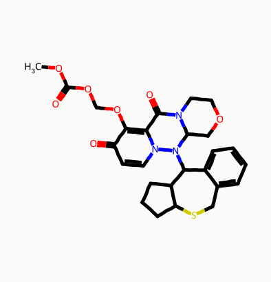 COC(=O)OCOc1c2n(ccc1=O)N(C1c3ccccc3CSC3CCCC31)C1COCCN1C2=O